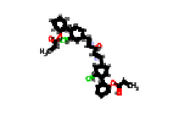 C=CC(=O)Oc1ccccc1-c1ccc(/C=C/C(=O)/C=C/c2ccc(-c3ccccc3OC(=O)C=C)c(Cl)c2)cc1Cl